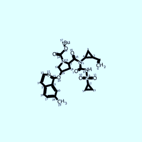 C=CC1CC1N(C(=O)NS(=O)(=O)C1CC1)C(=O)C1CC(Oc2nccc3ccc(C)cc23)CN1C(=O)OC(C)(C)C